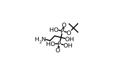 CC(C)(C)OP(=O)(O)C(O)(CCN)P(=O)(O)O